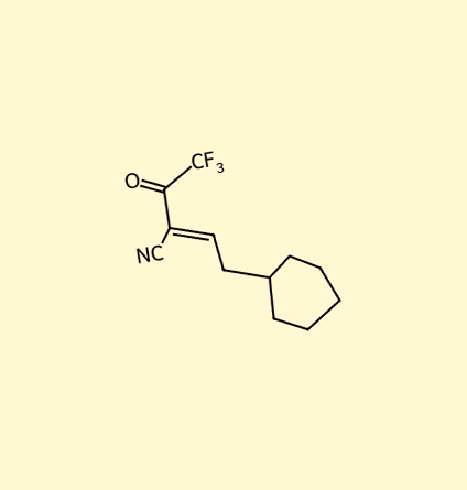 N#C/C(=C\CC1CCCCC1)C(=O)C(F)(F)F